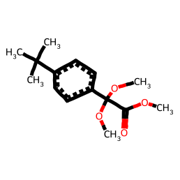 COC(=O)C(OC)(OC)c1ccc(C(C)(C)C)cc1